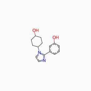 Oc1cccc(-c2nccn2C2CCC(O)CC2)c1